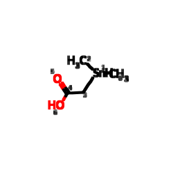 [CH3][SnH]([CH3])[CH2]C(=O)O